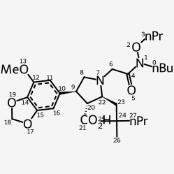 CCCCN(OCCC)C(=O)CN1C[C@H](c2cc(OC)c3c(c2)OCO3)[C@@H](C(=O)O)[C@@H]1CC(C)(C)CCC